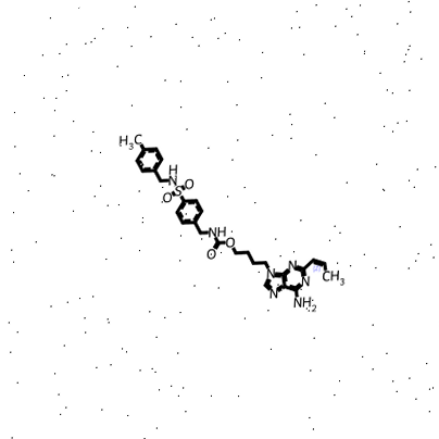 C/C=C\c1nc(N)c2ncn(CCCCOC(=O)NCc3ccc(S(=O)(=O)NCc4ccc(C)cc4)cc3)c2n1